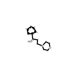 O[C@@H](CCN1CCOCC1)c1ccccc1